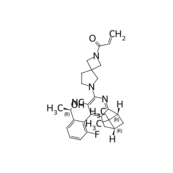 C=CC(=O)N1CC2(CCN(c3nc4c(c(-c5c(F)cccc5[C@@H](C)O)c3C#N)C[C@H]3C[C@@H]4C3(C)C)C2)C1